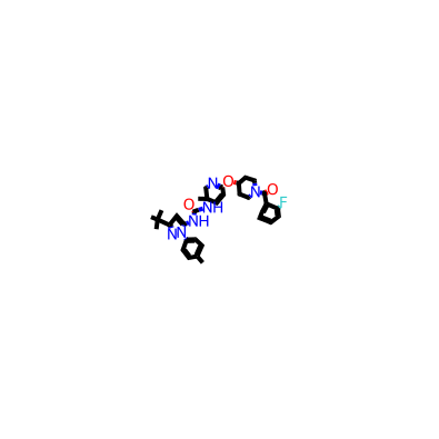 Cc1ccc(-n2nc(C(C)(C)C)cc2NC(=O)NC2(C)C=CC(OC3CCN(C(=O)c4ccccc4F)CC3)=NC2)cc1